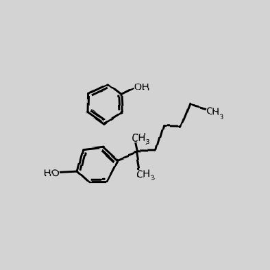 CCCCCC(C)(C)c1ccc(O)cc1.Oc1ccccc1